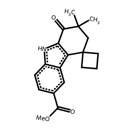 COC(=O)c1ccc2[nH]c3c(c2c1)C1(CCC1)CC(C)(C)C3=O